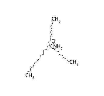 CCCCCCCCCCCCCCC(CCCCCCCCCC)(CCCCCCCCCC)C(N)=O